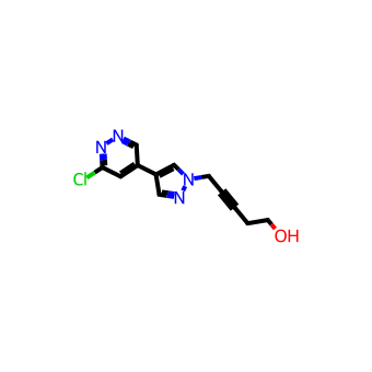 OCCC#CCn1cc(-c2cnnc(Cl)c2)cn1